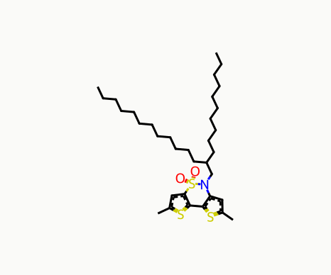 CCCCCCCCCCCCC(CCCCCCCCCC)CN1c2cc(C)sc2-c2sc(C)cc2S1(=O)=O